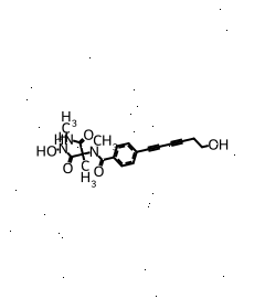 CNC(=O)C(C)(C(=O)NO)N(C)C(=O)c1ccc(C#CC#CCCO)cc1